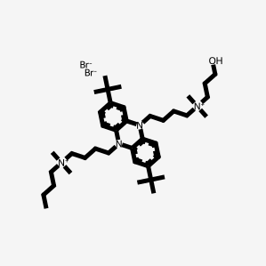 CCCC[N+](C)(C)CCCCN1c2cc(C(C)(C)C)ccc2N(CCCC[N+](C)(C)CCCO)c2cc(C(C)(C)C)ccc21.[Br-].[Br-]